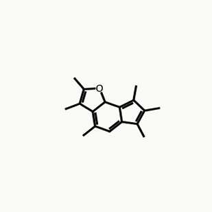 CC1=C2C(C)=C(C)OC2C2=C(C)C(C)=C(C)C2=C1